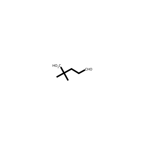 CC(C)(CCC=O)C(=O)O